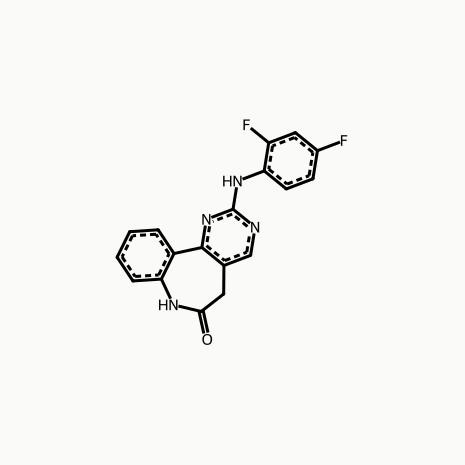 O=C1Cc2cnc(Nc3ccc(F)cc3F)nc2-c2ccccc2N1